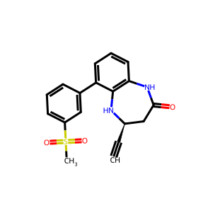 C#C[C@@H]1CC(=O)Nc2cccc(-c3cccc(S(C)(=O)=O)c3)c2N1